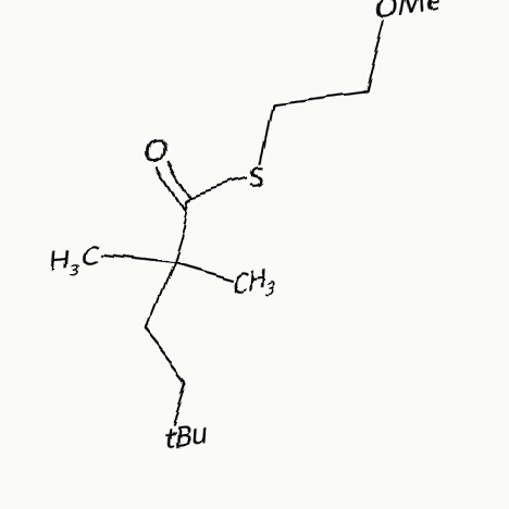 COCCSC(=O)C(C)(C)CCC(C)(C)C